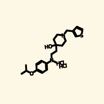 CC(C)Oc1ccc(N(C)CCC2(O)CCN(Cc3ccsc3)CC2)cc1.Cl.Cl